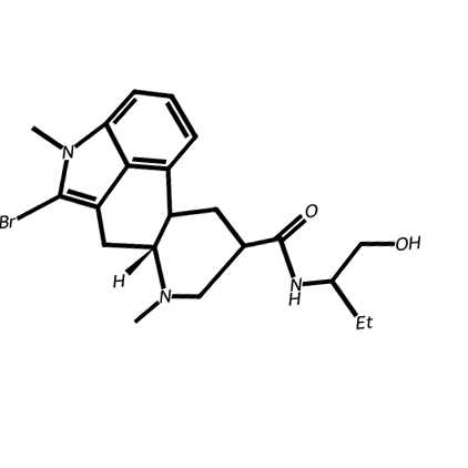 CCC(CO)NC(=O)C1CC2c3cccc4c3c(c(Br)n4C)C[C@H]2N(C)C1